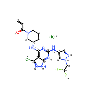 C=CC(=O)N1CCC[C@@H](Nc2nc(Nc3cnn(CC(F)F)c3)nc3[nH]nc(Cl)c23)C1.Cl